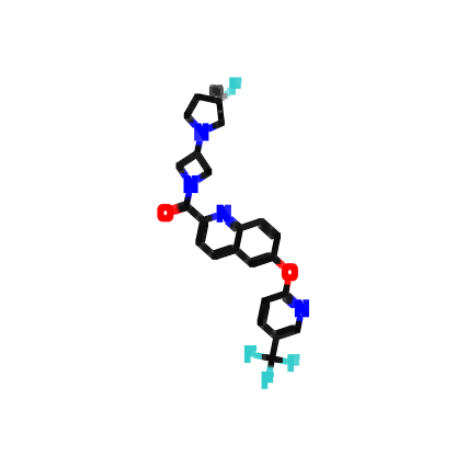 O=C(c1ccc2cc(Oc3ccc(C(F)(F)F)cn3)ccc2n1)N1CC(N2CC[C@H](F)C2)C1